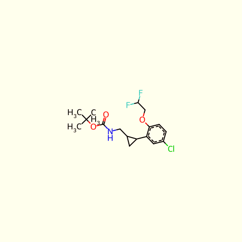 CC(C)(C)OC(=O)NCC1CC1c1cc(Cl)ccc1OCC(F)F